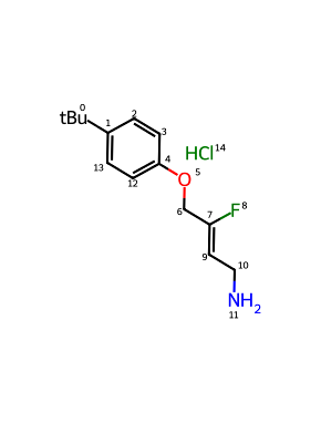 CC(C)(C)c1ccc(OCC(F)=CCN)cc1.Cl